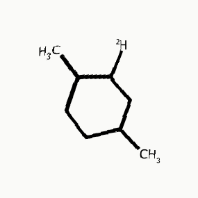 [2H]C1CC(C)CCC1C